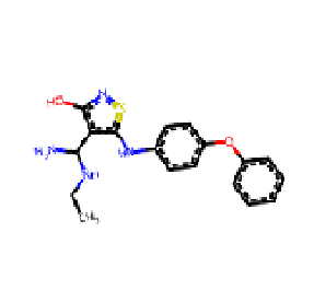 CCNC(N)c1c(O)nsc1Nc1ccc(Oc2ccccc2)cc1